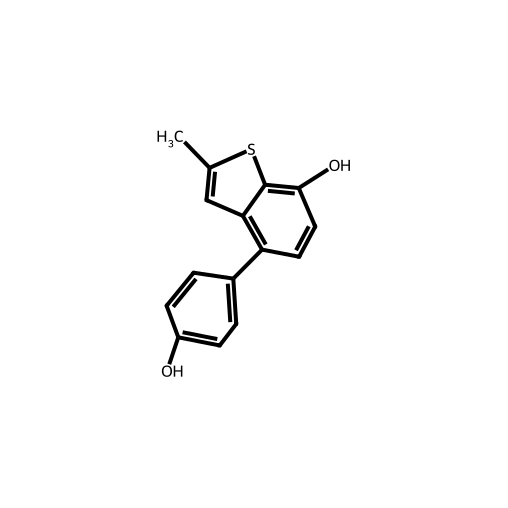 Cc1cc2c(-c3ccc(O)cc3)ccc(O)c2s1